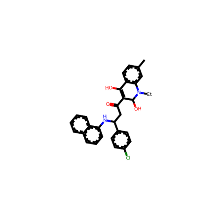 CCN1c2cc(C)ccc2C(O)=C(C(=O)CC(Nc2cccc3ccccc23)c2ccc(Cl)cc2)C1O